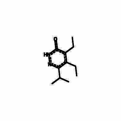 CCc1c(C(C)C)n[nH]c(=O)c1CC